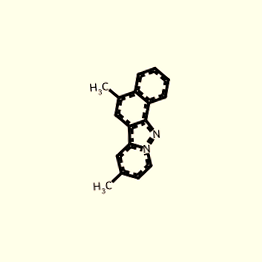 Cc1ccn2nc3c4ccccc4c(C)cc3c2c1